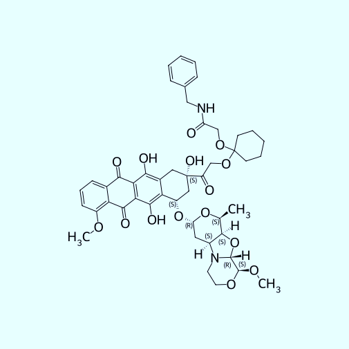 COc1cccc2c1C(=O)c1c(O)c3c(c(O)c1C2=O)C[C@@](O)(C(=O)COC1(OCC(=O)NCc2ccccc2)CCCCC1)C[C@@H]3O[C@H]1C[C@H]2[C@H](O[C@@H]3[C@@H](OC)OCCN32)[C@H](C)O1